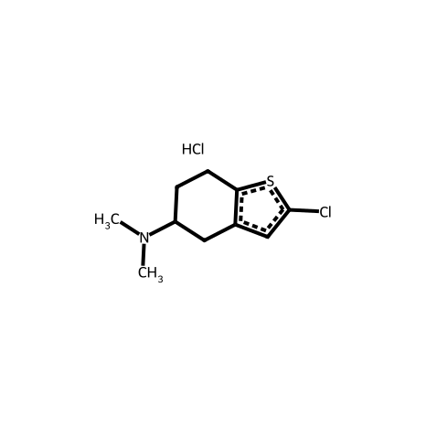 CN(C)C1CCc2sc(Cl)cc2C1.Cl